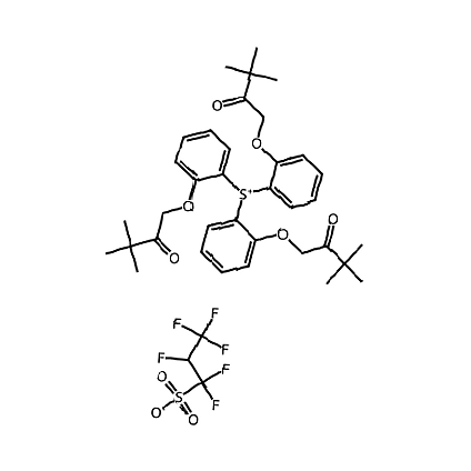 CC(C)(C)C(=O)COc1ccccc1[S+](c1ccccc1OCC(=O)C(C)(C)C)c1ccccc1OCC(=O)C(C)(C)C.O=S(=O)([O-])C(F)(F)C(F)C(F)(F)F